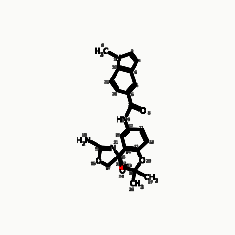 Cn1ccc2cc(C(=O)Nc3ccc4c(c3)C3(COC(N)=N3)C3(COC3)C(C)(C)O4)ccc21